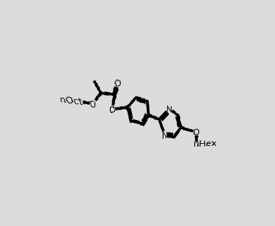 CCCCCCCCOC(C)C(=O)Oc1ccc(-c2ncc(OCCCCCC)cn2)cc1